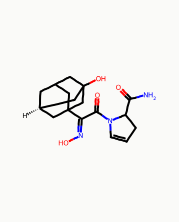 NC(=O)C1CC=CN1C(=O)/C(=N/O)C12CC3C[C@@H](CC(O)(C3)C1)C2